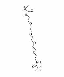 CC(C)(C)C(=O)NCCOCCOCCOCCOCCNC(=O)C(C)(C)C